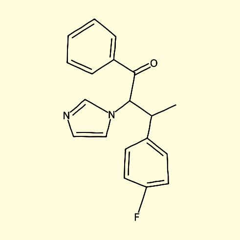 CC(c1ccc(F)cc1)C(C(=O)c1ccccc1)n1ccnc1